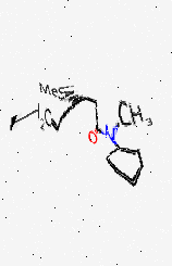 C=CC(CC(=O)N(C)C1=CC=C=C=C1)SC